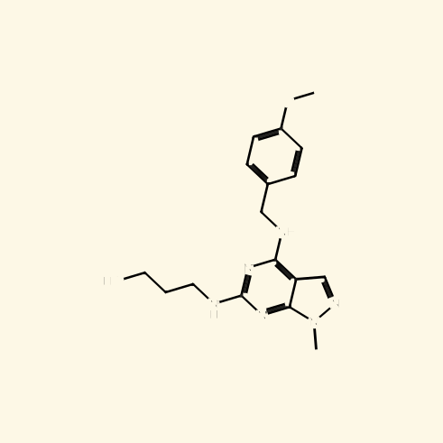 COc1ccc(CNc2nc(NCCCO)nc3c2cnn3C)cc1